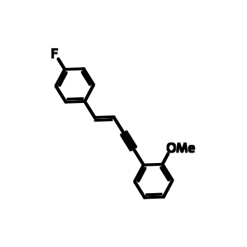 COc1ccccc1C#CC=Cc1ccc(F)cc1